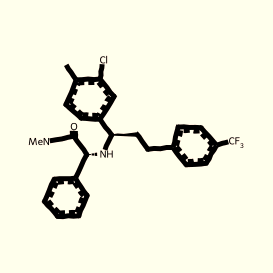 CNC(=O)[C@H](N[C@H](CCc1ccc(C(F)(F)F)cc1)c1ccc(C)c(Cl)c1)c1ccccc1